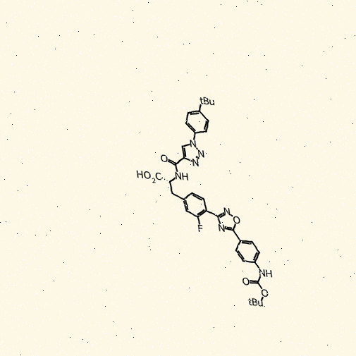 CC(C)(C)OC(=O)Nc1ccc(-c2nc(-c3ccc(C[C@@H](NC(=O)c4cn(-c5ccc(C(C)(C)C)cc5)nn4)C(=O)O)cc3F)no2)cc1